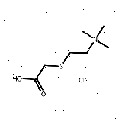 C[N+](C)(C)CCSCC(=O)O.[Cl-]